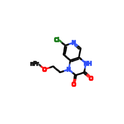 CCCOCCn1c(=O)c(=O)[nH]c2cnc(Cl)cc21